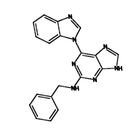 c1ccc(CNc2nc(-n3cnc4ccccc43)c3nc[nH]c3n2)cc1